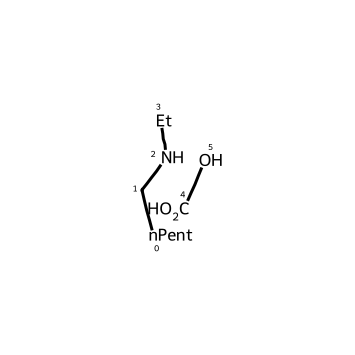 CCCCCCNCC.O=C(O)O